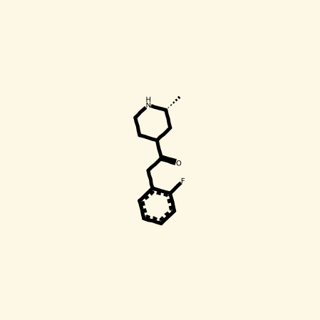 C[C@@H]1CC(C(=O)Cc2ccccc2F)CCN1